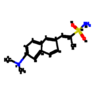 CN(C)c1ccc2cc(/C=C(\C#N)S(N)(=O)=O)ccc2c1